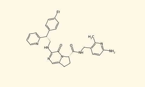 CCc1ccc([C@H](CNc2ncc3n(c2=O)[C@H](C(=O)NCc2ccc(N)nc2C)CC3)c2ccccn2)cc1